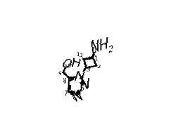 NC1CC(n2nncc2CO)C1